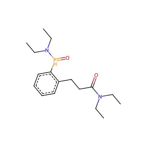 CCN(CC)C(=O)CCc1ccccc1[PH](=O)N(CC)CC